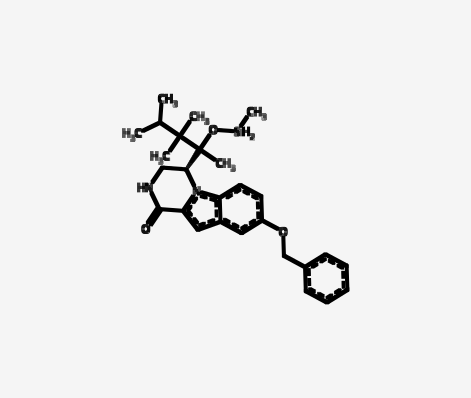 C[SiH2]OC(C)([C@@H]1CNC(=O)c2cc3cc(OCc4ccccc4)ccc3n21)C(C)(C)C(C)C